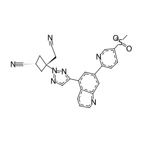 CS(=O)(=O)c1ccc(-c2cc(-c3cnn([C@]4(CC#N)C[C@H](C#N)C4)n3)c3cccnc3c2)nc1